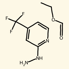 CCOC=O.NNc1cc(C(F)(F)F)ccn1